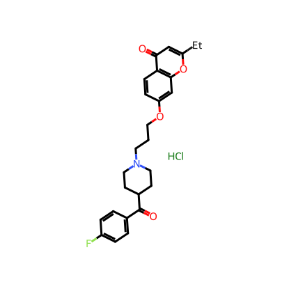 CCc1cc(=O)c2ccc(OCCCN3CCC(C(=O)c4ccc(F)cc4)CC3)cc2o1.Cl